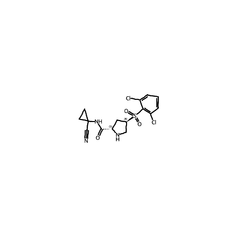 N#CC1(NC(=O)[C@@H]2C[C@@H](S(=O)(=O)c3c(Cl)cccc3Cl)CN2)CC1